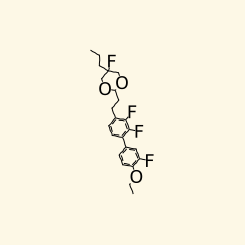 CCCC1(F)COC(CCc2ccc(-c3ccc(OCC)c(F)c3)c(F)c2F)OC1